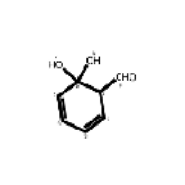 O=CC1C=CC=CC1(O)O